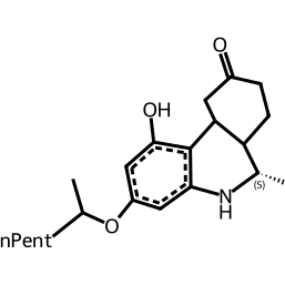 CCCCCC(C)Oc1cc(O)c2c(c1)N[C@@H](C)C1CCC(=O)CC21